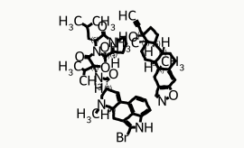 C#C[C@]1(O)CC[C@H]2[C@@H]3CCC4=Cc5oncc5C[C@]4(C)[C@H]3CC[C@@]21C.CC(C)C[C@H]1C(=O)N2CCC[C@H]2[C@]2(O)O[C@](NC(=O)[C@@H]3C=C4c5cccc6[nH]c(Br)c(c56)C[C@H]4N(C)C3)(C(C)C)C(=O)N12